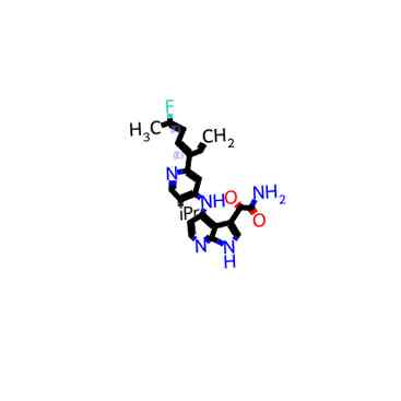 C=C/C(=C\C=C(/C)F)c1cc(Nc2ccnc3[nH]cc(C(=O)C(N)=O)c23)c(C(C)C)cn1